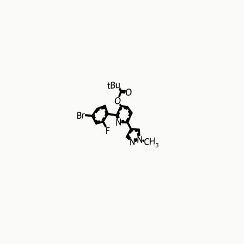 Cn1cc(-c2ccc(OC(=O)C(C)(C)C)c(-c3ccc(Br)cc3F)n2)cn1